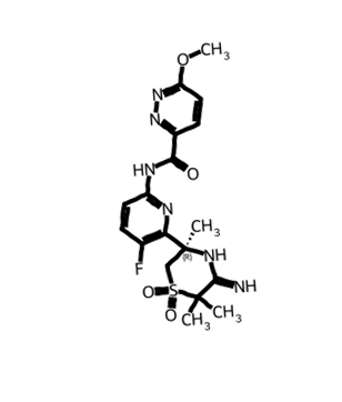 COc1ccc(C(=O)Nc2ccc(F)c([C@]3(C)CS(=O)(=O)C(C)(C)C(=N)N3)n2)nn1